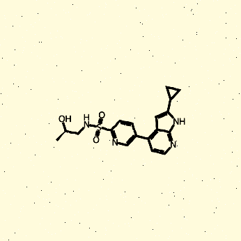 C[C@@H](O)CNS(=O)(=O)c1ccc(-c2ccnc3[nH]c(C4CC4)cc23)cn1